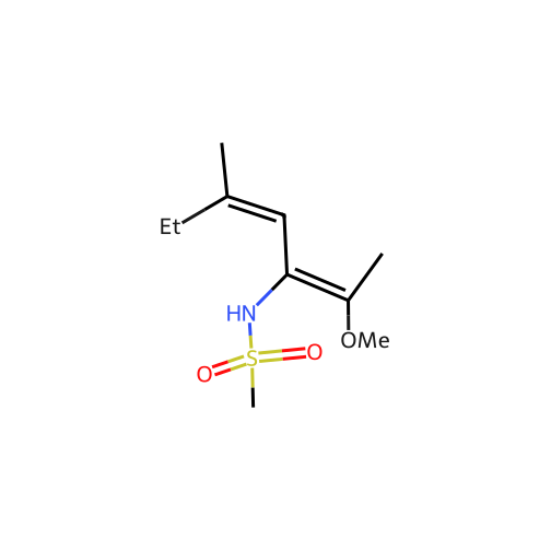 CC/C(C)=C\C(NS(C)(=O)=O)=C(/C)OC